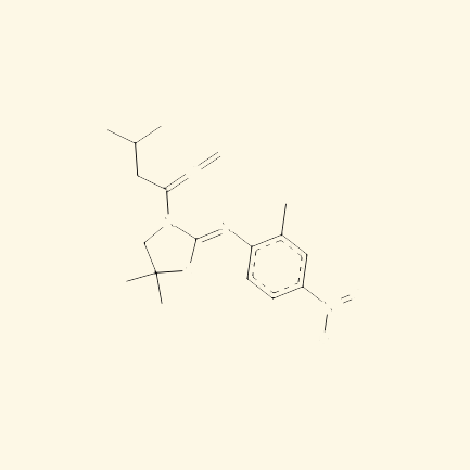 C=C=C(CC(C)C)N1CC(C)(C)SC1=Nc1ccc([N+](=O)[O-])cc1C